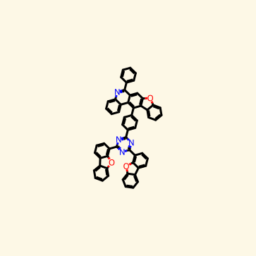 c1ccc(-c2nc3ccccc3c3c(-c4ccc(-c5nc(-c6cccc7c6oc6ccccc67)nc(-c6cccc7c6oc6ccccc67)n5)cc4)c4c(cc23)oc2ccccc24)cc1